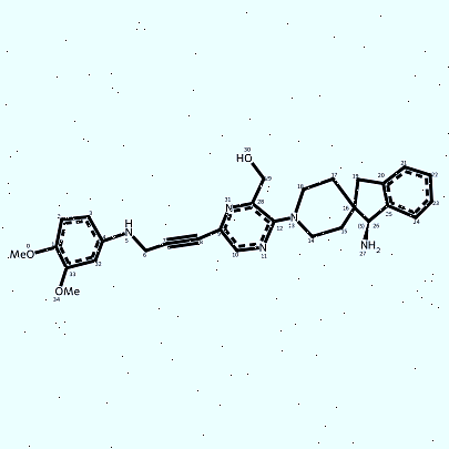 COc1ccc(NCC#Cc2cnc(N3CCC4(CC3)Cc3ccccc3[C@H]4N)c(CO)n2)cc1OC